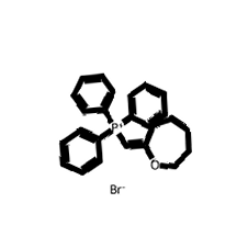 C(=C1CCCCCO1)[P+](c1ccccc1)(c1ccccc1)c1ccccc1.[Br-]